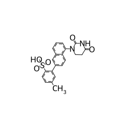 Cc1ccc(S(=O)(=O)O)c(-c2ccc3c(N4CCC(=O)NC4=O)cccc3c2)c1